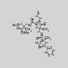 COC(=O)C(C)(COC(C)=O)COC(=O)OCC(C)(COC(=O)C(C)(C)CC(Br)c1ccccc1)C(=O)OCCF